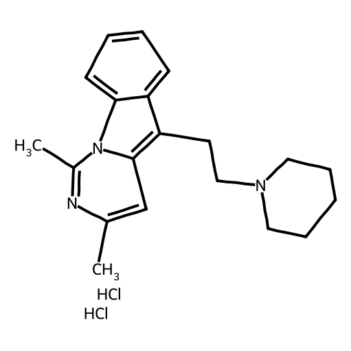 Cc1cc2c(CCN3CCCCC3)c3ccccc3n2c(C)n1.Cl.Cl